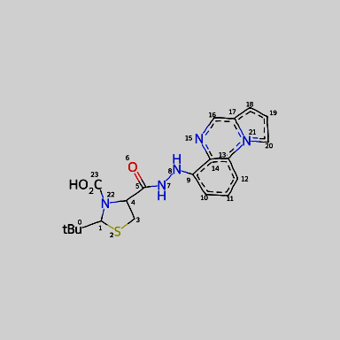 CC(C)(C)C1SCC(C(=O)NNc2cccc3c2ncc2cccn23)N1C(=O)O